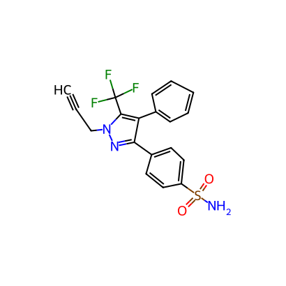 C#CCn1nc(-c2ccc(S(N)(=O)=O)cc2)c(-c2ccccc2)c1C(F)(F)F